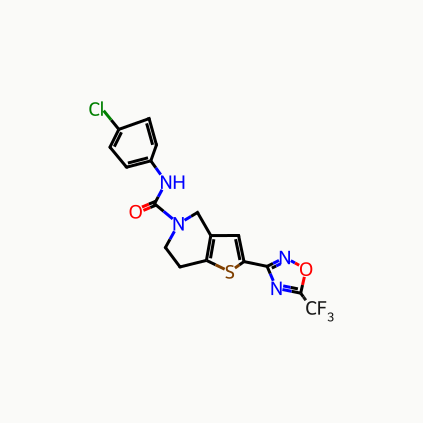 O=C(Nc1ccc(Cl)cc1)N1CCc2sc(-c3noc(C(F)(F)F)n3)cc2C1